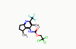 Cc1c(C(F)(F)F)nc2c(c1NC(=O)OCC(Cl)(Cl)Cl)C(C)CC2